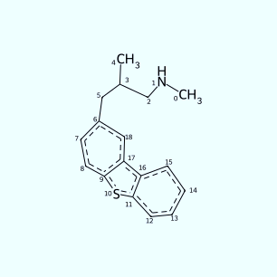 CNCC(C)Cc1ccc2sc3ccccc3c2c1